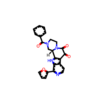 O=C1C(=O)N2CCN(C(=O)c3ccccc3)C[C@H]2c2[nH]c3c(-c4ccco4)nccc3c21